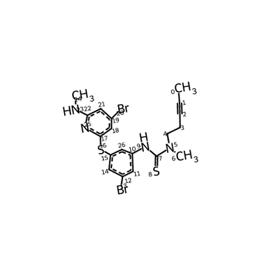 CC#CCCN(C)C(=S)Nc1cc(Br)cc(Sc2cc(Br)cc(NC)n2)c1